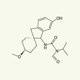 CO[C@H]1CC[C@]2(CC1)Cc1ccc(O)cc1C2NC(=O)N(C=O)C(C)C